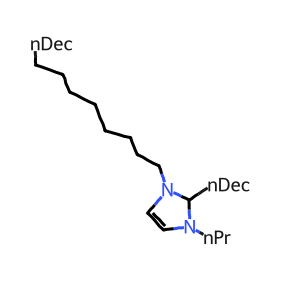 CCCCCCCCCCCCCCCCCCN1C=CN(CCC)C1CCCCCCCCCC